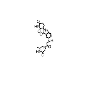 CC1CN(C(=O)CNc2ccc3c(c2)C(=O)N(C2CCC(=O)NC2=O)C3)CC(=O)N1